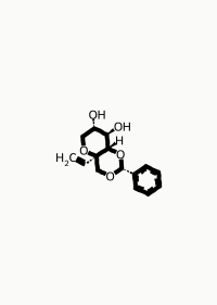 C=C[C@@]12CO[C@@H](c3ccccc3)O[C@H]1[C@H](O)[C@@H](O)CO2